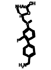 CC(=O)NC[C@@H](CN(C)c1ccc(-c2ccc(CN)cc2)c(F)c1)OCO